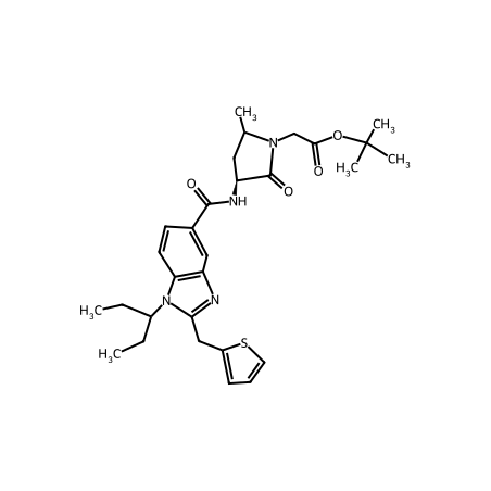 CCC(CC)n1c(Cc2cccs2)nc2cc(C(=O)N[C@H]3CC(C)N(CC(=O)OC(C)(C)C)C3=O)ccc21